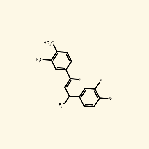 O=C(O)c1ccc(C(F)=CC(c2ccc(Br)c(F)c2)C(F)(F)F)cc1C(F)(F)F